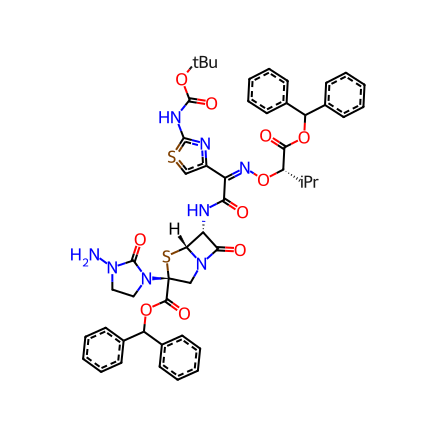 CC(C)[C@H](O/N=C(\C(=O)N[C@@H]1C(=O)N2C[C@@](C(=O)OC(c3ccccc3)c3ccccc3)(N3CCN(N)C3=O)S[C@H]12)c1csc(NC(=O)OC(C)(C)C)n1)C(=O)OC(c1ccccc1)c1ccccc1